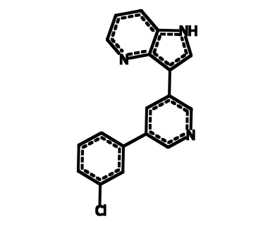 Clc1cccc(-c2cncc(-c3c[nH]c4cccnc34)c2)c1